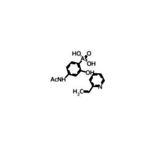 C=Cc1ccccn1.CC(=O)Nc1ccc([As](=O)(O)O)c(O)c1